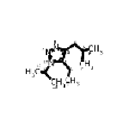 CCc1c(CC(C)C)nnn1C(C)C